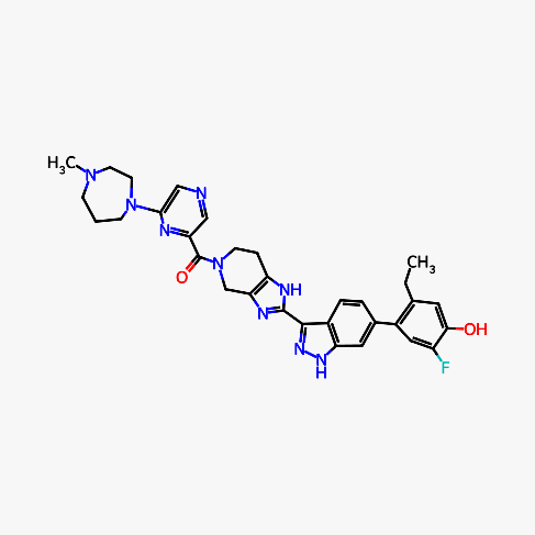 CCc1cc(O)c(F)cc1-c1ccc2c(-c3nc4c([nH]3)CCN(C(=O)c3cncc(N5CCCN(C)CC5)n3)C4)n[nH]c2c1